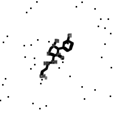 C=CCNNC1=NCN(CC)C(c2cccc(Cl)c2)[N+]1=O